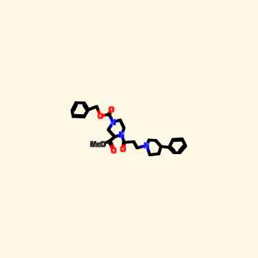 COC(=O)C1CN(C(=O)OCc2ccccc2)CCN1C(=O)CCN1CCC(c2ccccc2)CC1